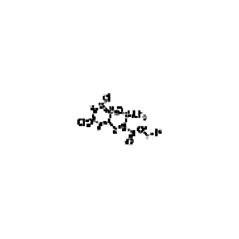 O=C(OCI)C1=Cc2cc(Cl)cc(Cl)c2OC1C(F)(F)F